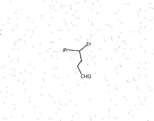 CCC(CCC=O)C(C)C